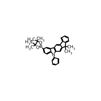 CC1(C)c2ccccc2-c2cc3c4cc(B5OC(C)(C)C(C)(C)O5)ccc4n(-c4ccccc4)c3cc21